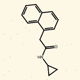 O=C(Cc1cccc2ccccc12)NC1CC1